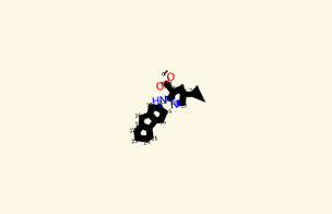 COC(=O)c1cc(C2CC2)cnc1Nc1ccc2c(c1)Cc1ccccc1-2